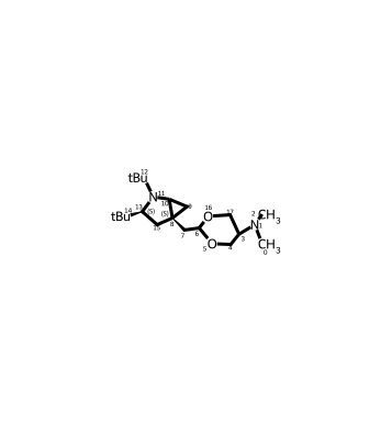 CN(C)C1COC(C[C@]23CC2N(C(C)(C)C)[C@H](C(C)(C)C)C3)OC1